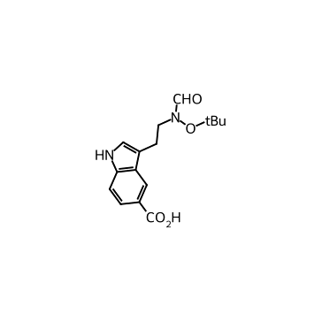 CC(C)(C)ON(C=O)CCc1c[nH]c2ccc(C(=O)O)cc12